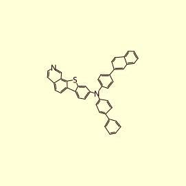 c1ccc(-c2ccc(N(c3ccc(-c4ccc5ccccc5c4)cc3)c3ccc4c(c3)sc3c5cnccc5ccc43)cc2)cc1